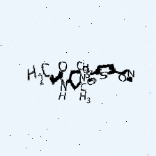 C=CC(=O)NC1CC(C)N(S(=O)(=O)c2ccc(-c3cnco3)s2)C(C)C1